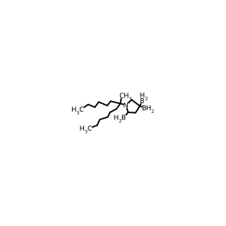 BC1CC(B)(B)CN1C(C)(CCCCCC)CCCCCC